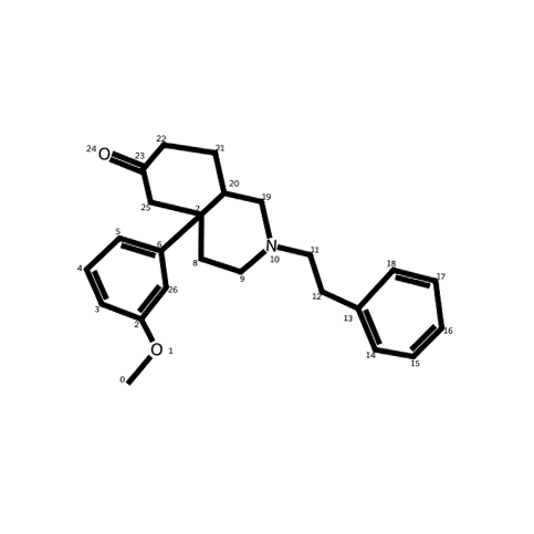 COc1cccc(C23CCN(CCc4ccccc4)CC2CCC(=O)C3)c1